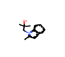 Cc1cc2ccccc2n1CC(C)(C)O